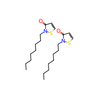 CCCCCCCCn1sccc1=O.CCCCCCCCn1sccc1=O